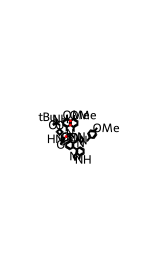 COc1ccc(CN(Cc2ccc(OC)cc2)S(=O)(=O)c2c(S(=O)(=O)N[C@H]3C[C@H](OC(=O)NC(C)(C)C)C3)ccc(-c3cccc4[nH]cnc34)c2-c2nnn(Cc3ccc(OC)cc3)n2)cc1